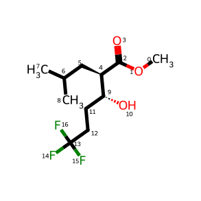 COC(=O)[C@H](CC(C)C)[C@H](O)CCC(F)(F)F